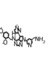 COc1ccc(CNc2ncnc3c2c(-c2ccn(C)n2)cn3-c2cncc(CN)c2)c(OC)c1